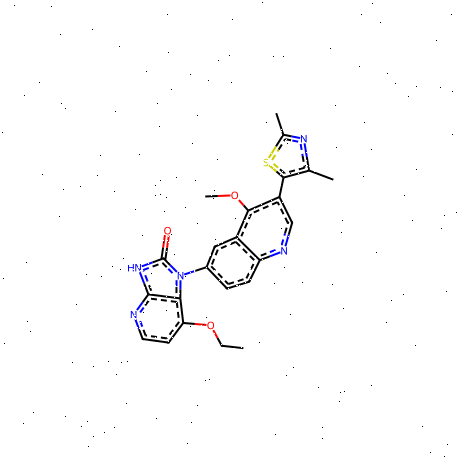 CCOc1ccnc2[nH]c(=O)n(-c3ccc4ncc(-c5sc(C)nc5C)c(OC)c4c3)c12